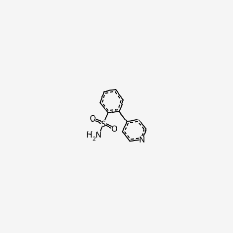 NS(=O)(=O)c1ccccc1-c1ccncc1